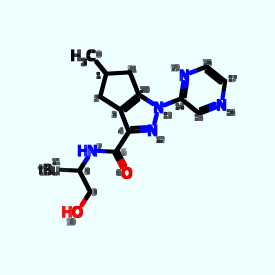 CC1Cc2c(C(=O)NC(CO)C(C)(C)C)nn(-c3cnccn3)c2C1